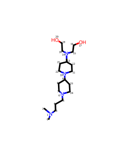 CN(C)CCCN1CCC(N2CCC(N(CCO)CCO)CC2)CC1